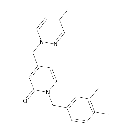 C=CN(Cc1ccn(Cc2ccc(C)c(C)c2)c(=O)c1)/N=C\CC